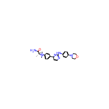 C[C@H](C(N)=O)[N+](C)(C)c1ccc(-c2ccnc(Nc3ccc(N4CCOCC4)cc3)n2)cc1